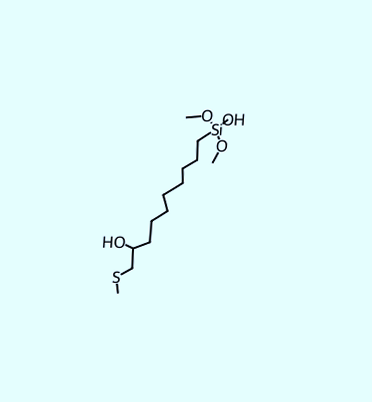 CO[Si](O)(CCCCCCCCC(O)CSC)OC